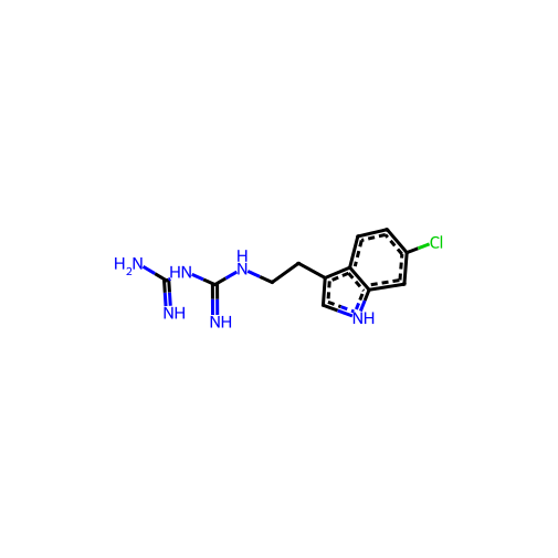 N=C(N)NC(=N)NCCc1c[nH]c2cc(Cl)ccc12